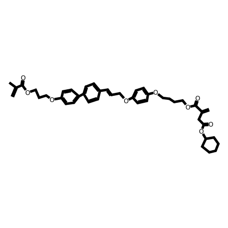 C=C(C)C(=O)OCCCOc1ccc(-c2ccc(/C=C/COc3ccc(OCCCCOC(=O)C(=C)CC(=O)OC4CCCCC4)cc3)cc2)cc1